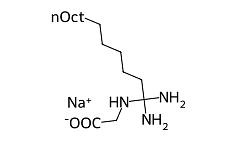 CCCCCCCCCCCCCC(N)(N)NCC(=O)[O-].[Na+]